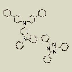 c1ccc(-c2ccc(N(c3ccc(-c4ccccc4)cc3)c3ccc4c(c3)c3cc(-c5cccc(-c6nc(-c7ccccc7)nc(-c7ccccc7)n6)c5)ccc3n4-c3ccccc3)cc2)cc1